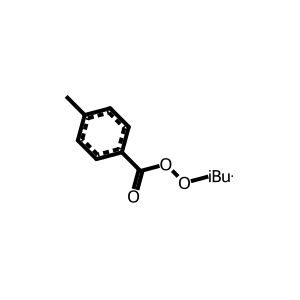 CC[C](C)OOC(=O)c1ccc(C)cc1